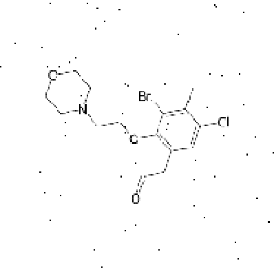 Cc1c(Cl)cc(CC=O)c(OCCN2CCOCC2)c1Br